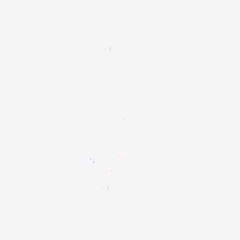 C=C(c1ccccc1OCOC)C12CCC(N)C1CC(CCCCCC)=C2c1ccccc1